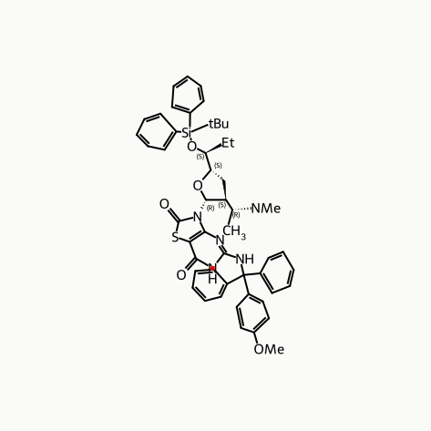 CC[C@H](O[Si](c1ccccc1)(c1ccccc1)C(C)(C)C)[C@@H]1C[C@@H]([C@@H](C)NC)[C@H](n2c(=O)sc3c(=O)[nH]c(NC(c4ccccc4)(c4ccccc4)c4ccc(OC)cc4)nc32)O1